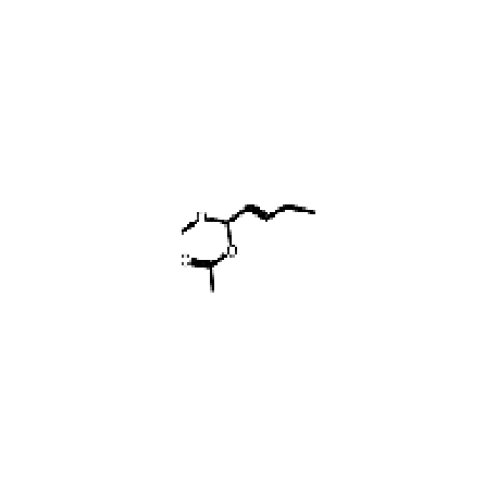 CC/C=C/C(OC)OC(C)=O